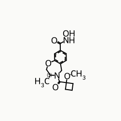 COC1(C(=O)N2Cc3ccc(C(=O)NO)cc3OC[C@@H]2C)CCC1